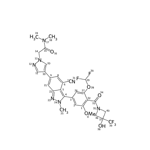 COc1cc(-c2c3c(C#N)cc(-c4cnn(CC(=O)N(C)C)c4)cc3nn2C)cc(OC(F)F)c1C(=O)N1CC(O)(C(F)(F)F)C1